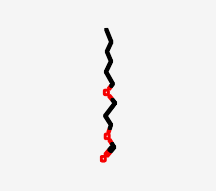 CCCCCCOCCCOC=O